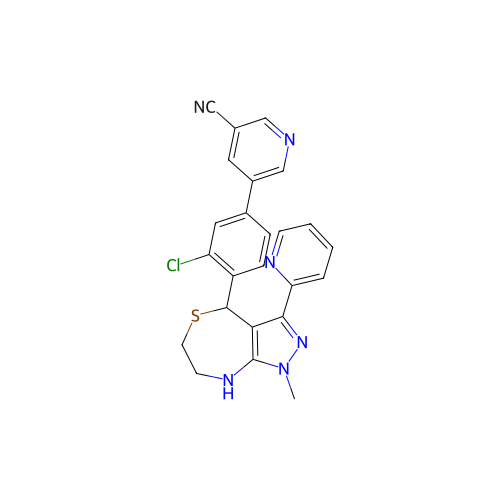 Cn1nc(-c2ccccn2)c2c1NCCSC2c1ccc(-c2cncc(C#N)c2)cc1Cl